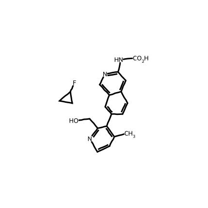 Cc1ccnc(CO)c1-c1ccc2cc(NC(=O)O)ncc2c1.FC1CC1